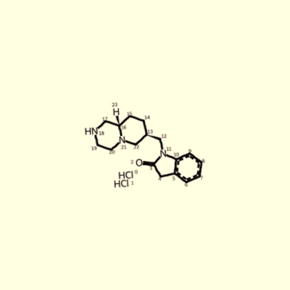 Cl.Cl.O=C1Cc2ccccc2N1C[C@@H]1CC[C@H]2CNCCN2C1